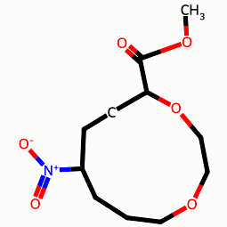 COC(=O)C1CCC([N+](=O)[O-])CCCOCCO1